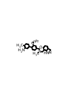 CCCOc1cc(C(=O)N(C)Cc2cccc3cn[nH]c23)ccc1-c1ccc(C)c(N)c1